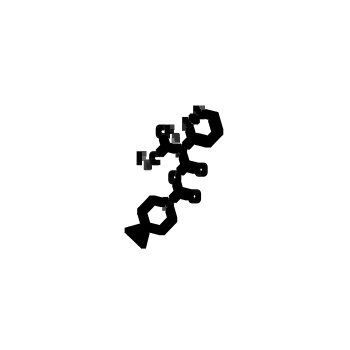 O=C(OC(=O)N(c1cccnn1)C(C(F)(F)F)C(F)(F)F)N1CCC2(CC1)CC2